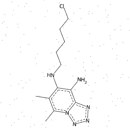 Cc1c(NCCCCCCl)c(N)c2nnnn2c1C